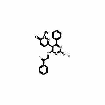 CC(C)n1nc(-c2c(OCC(=O)c3ccccc3)nc(N)nc2-c2ccccc2)ccc1=O